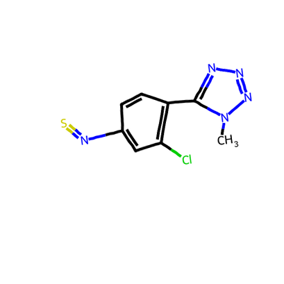 Cn1nnnc1-c1ccc(N=S)cc1Cl